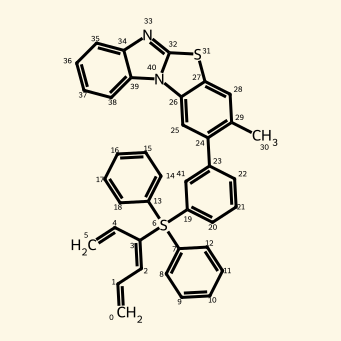 C=C/C=C(\C=C)S(c1ccccc1)(c1ccccc1)c1cccc(-c2cc3c(cc2C)sc2nc4ccccc4n23)c1